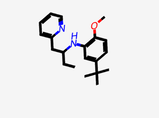 CCC(Cc1ccccn1)Nc1cc(C(C)(C)C)ccc1OC